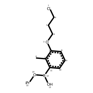 Cc1c(OCCCCl)cccc1B(O)OC(C)C